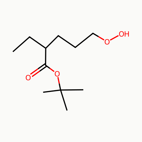 CCC(CCCOO)C(=O)OC(C)(C)C